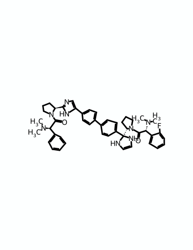 CN(C)[C@@H](C(=O)N1CCC[C@H]1c1ncc(-c2ccc(-c3ccc(C4([C@@H]5CCCN5C(=O)[C@@H](c5ccccc5F)N(C)C)NC=CN4)cc3)cc2)[nH]1)c1ccccc1